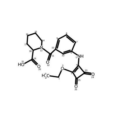 CCOc1c(Nc2cccc(C(=O)N3CCCCC3C(=O)O)c2)c(=O)c1=O